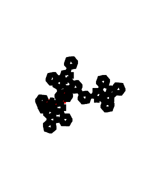 CC1(Cc2ccc3c(c2)c2ccccc2n3-c2cc(-c3cccc(-c4nc(-c5ccccc5)cc(-c5ccccc5-n5c6ccccc6c6ccccc65)n4)c3)ccc2-c2nc(-c3ccccc3)cc(-c3ccccc3)n2)c2ccccc2-c2cc3c4ccccc4n(-c4ccccc4-c4nc(-c5ccccc5)nc(-c5ccccc5)n4)c3cc21